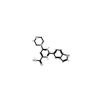 O=C(O)c1cc(N2CCOCC2)nc(-c2ccc3[nH]ccc3c2)n1